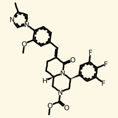 COC(=O)N1C[C@@H]2CC/C(=C\c3ccc(-n4cnc(C)c4)c(OC)c3)C(=O)N2[C@@H](c2cc(F)c(F)c(F)c2)C1